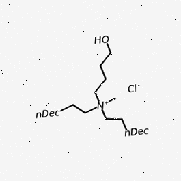 CCCCCCCCCCCC[N+](C)(CCCCO)CCCCCCCCCCCC.[Cl-]